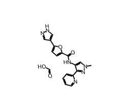 Cn1cc(NC(=O)c2ccc(-c3cn[nH]c3)o2)c(-c2ccccn2)n1.O=CO